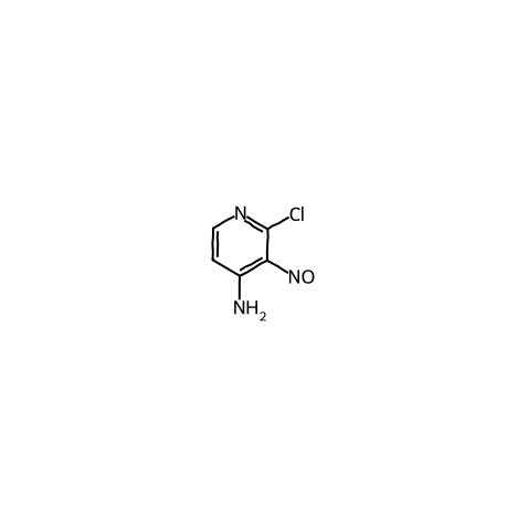 Nc1ccnc(Cl)c1N=O